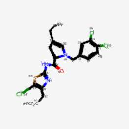 CC(C)Cc1cc(C(=O)Nc2nc(CC(=O)O)c(Cl)s2)n(Cc2ccc(Cl)c(Cl)c2)c1